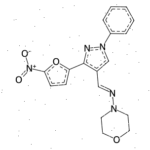 O=[N+]([O-])c1ccc(-c2nn(-c3ccccc3)cc2C=NN2CCOCC2)o1